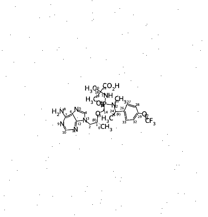 C[C@H](Cn1cnc2c(N)ncnc21)OC[P@@](=O)(NC(C)(C)C(=O)O)N(C)[C@H](C)c1ccc(OC(F)(F)F)cc1